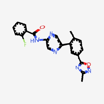 Cc1noc(-c2ccc(C)c(-c3cnc(NC(=O)c4ccccc4F)cn3)c2)n1